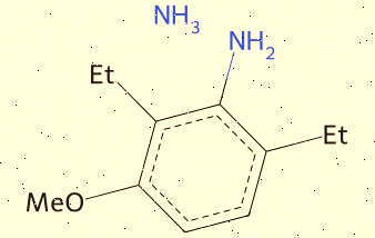 CCc1ccc(OC)c(CC)c1N.N